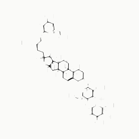 C[C@@H](CC[C@@]1(O)O[C@H]2C[C@H]3[C@@H]4CC=C5C[C@@H](O[C@@H]6O[C@H](CO)[C@@H](O[C@@H]7O[C@@H](C)[C@H](O)[C@@H](O)[C@H]7O)[C@H](O)[C@H]6O)CC[C@]5(C)[C@H]4CC[C@]3(C)[C@H]2[C@@H]1C)CO[C@@H]1O[C@H](CO)[C@@H](O)[C@H](O)[C@H]1O